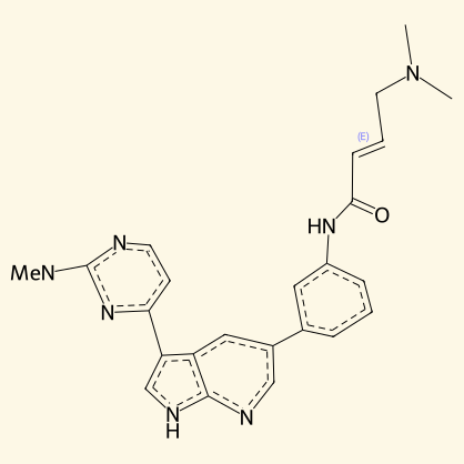 CNc1nccc(-c2c[nH]c3ncc(-c4cccc(NC(=O)/C=C/CN(C)C)c4)cc23)n1